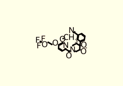 COc1nc(C(=O)N2CCC3(c4cccc(C#N)c4)OCOC3C2)ccc1OCCOC(F)(F)F